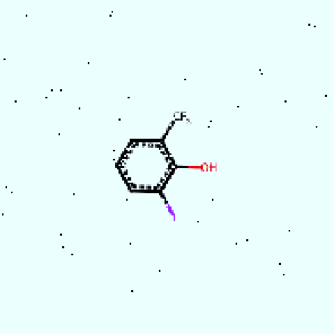 Oc1c(I)cccc1C(F)(F)F